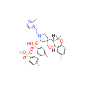 Cc1ccc(S(=O)(=O)O)cc1.Cc1ccc(S(=O)(=O)O)cc1.Cc1nccn1CCN1CCC2(CC1)CO[C@@H]1c3cc(F)ccc3OC(C)(C)[C@H]1C2